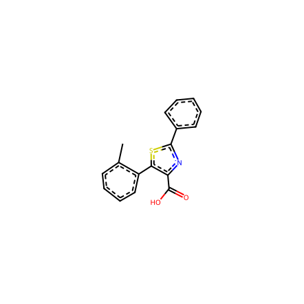 Cc1ccccc1-c1sc(-c2ccccc2)nc1C(=O)O